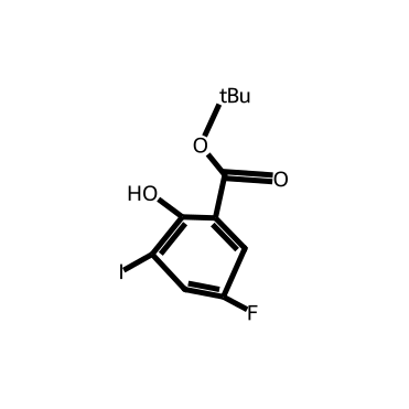 CC(C)(C)OC(=O)c1cc(F)cc(I)c1O